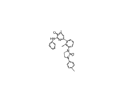 Cc1ccc(N2CCN(c3cccc(-c4cn(C)c(=O)c(Nc5ccccc5)n4)c3C)C2=O)cc1